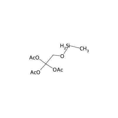 C[SiH2]OCC(OC(C)=O)(OC(C)=O)OC(C)=O